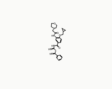 N=C(NC(=O)c1ccc(OCC2CC2)c(NC(=O)CN2CCOCC2)c1)SC(=N)c1ccccc1